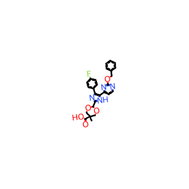 CC1(C(=O)O)COC(c2nc(-c3ccc(F)cc3)c(-c3ccnc(OCc4ccccc4)n3)[nH]2)OC1